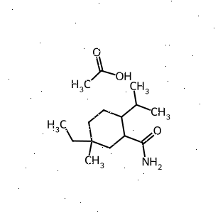 CC(=O)O.CCC1(C)CCC(C(C)C)C(C(N)=O)C1